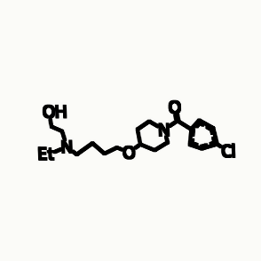 CCN(CCO)CCCCOC1CCN(C(=O)c2ccc(Cl)cc2)CC1